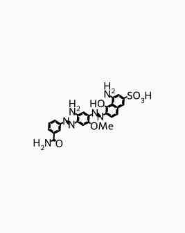 COc1cc(N=Nc2cccc(C(N)=O)c2)c(N)cc1N=Nc1ccc2cc(S(=O)(=O)O)cc(N)c2c1O